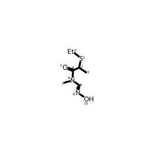 CCSC(C)C(=O)N(C)C=NO